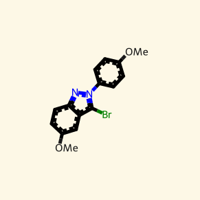 COc1ccc(-n2nc3ccc(OC)cc3c2Br)cc1